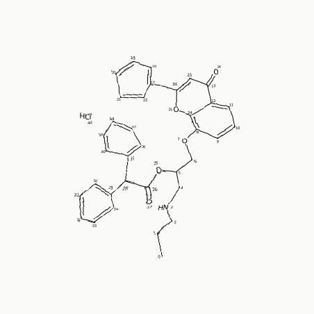 CCCNCC(COc1cccc2c(=O)cc(-c3ccccc3)oc12)OC(=O)C(c1ccccc1)c1ccccc1.Cl